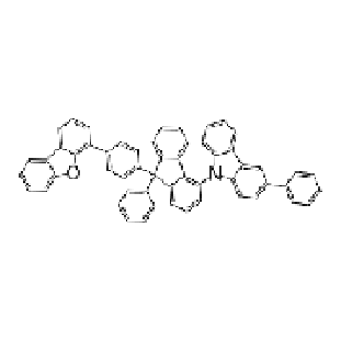 c1ccc(-c2ccc3c(c2)c2ccccc2n3-c2cccc3c2-c2ccccc2C3(c2ccccc2)c2ccc(-c3cccc4c3oc3ccccc34)cc2)cc1